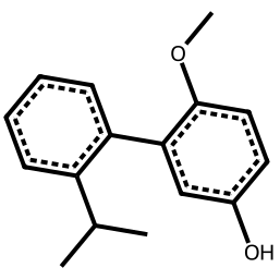 COc1ccc(O)cc1-c1ccccc1C(C)C